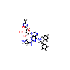 CCc1noc([C@H]2O[C@@H](n3cnc4c(NCC(c5ccccc5)c5ccccc5)nc(NC5CCNC5)nc43)[C@H](O)[C@@H]2O)n1